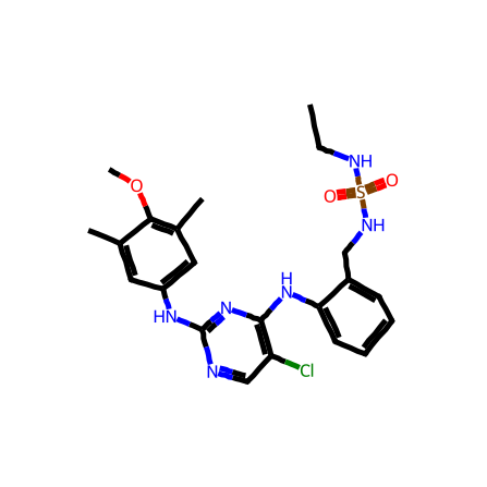 CCNS(=O)(=O)NCc1ccccc1Nc1nc(Nc2cc(C)c(OC)c(C)c2)ncc1Cl